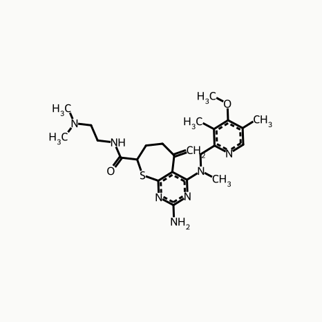 C=C1CCC(C(=O)NCCN(C)C)Sc2nc(N)nc(N(C)Cc3ncc(C)c(OC)c3C)c21